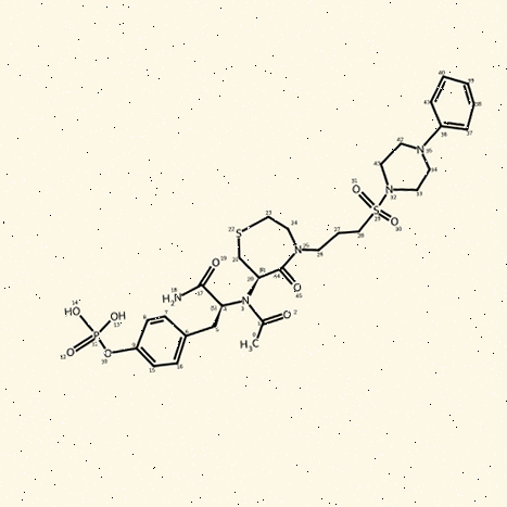 CC(=O)N([C@@H](Cc1ccc(OP(=O)(O)O)cc1)C(N)=O)[C@H]1CSCCN(CCCS(=O)(=O)N2CCN(c3ccccc3)CC2)C1=O